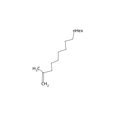 [CH2]CCCCCCCCCCCCC(=C)C